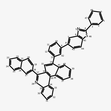 c1ccc(-c2nc3cc(-c4cccc(-c5cc6c(-c7ccc8ccccc8c7)nc7ccccc7c6c6ccccc56)c4)ccc3s2)cc1